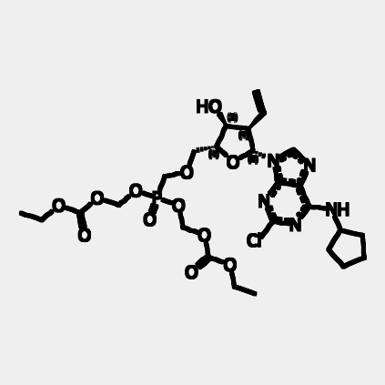 C=C[C@@H]1[C@H](O)[C@@H](COCP(=O)(OCOC(=O)OCC)OCOC(=O)OCC)O[C@H]1n1cnc2c(NC3CCCC3)nc(Cl)nc21